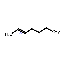 [CH2]C[CH]C/C=C/C